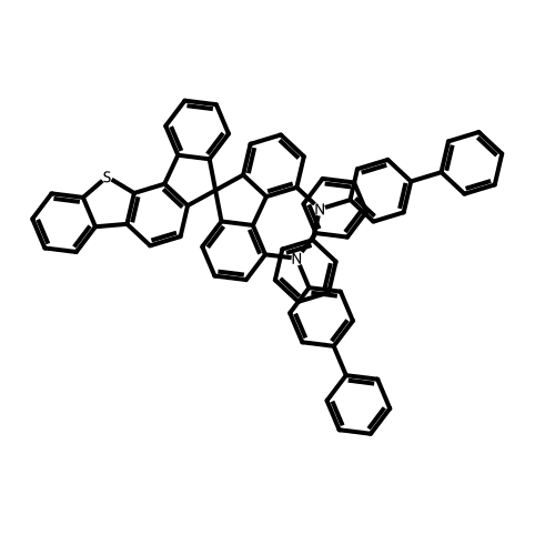 c1ccc(-c2ccc(N(c3ccccc3)c3cccc4c3-c3c(N(c5ccccc5)c5ccc(-c6ccccc6)cc5)cccc3C43c4ccccc4-c4c3ccc3c4sc4ccccc43)cc2)cc1